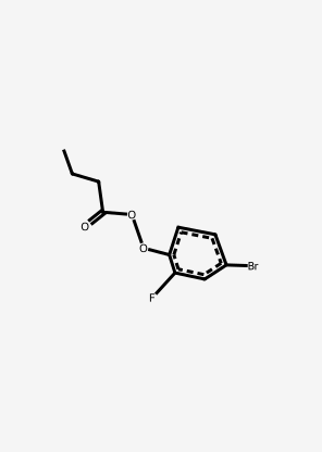 CCCC(=O)OOc1ccc(Br)cc1F